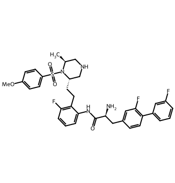 COc1ccc(S(=O)(=O)N2[C@@H](CCc3c(F)cccc3NC(=O)[C@@H](N)Cc3ccc(-c4cccc(F)c4)c(F)c3)CNC[C@@H]2C)cc1